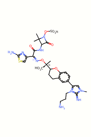 Cn1cc(-c2ccc3c(c2)CCC([C@@](C)(O/N=C(\C(=O)NC2C(=O)N(OS(=O)(=O)O)C2(C)C)c2csc(N)n2)C(=O)O)O3)n(CCCN)c1=N